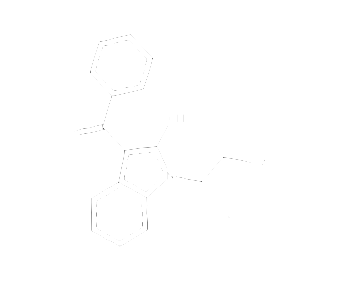 CC(=O)OC[C@H](C)n1c(C)c(C(=O)c2ccccc2)c2ccccc21